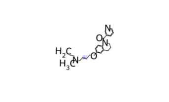 C=CCN(C)C/C=C/COc1ccc2c(c1)CCCN2C(=O)c1cccnc1